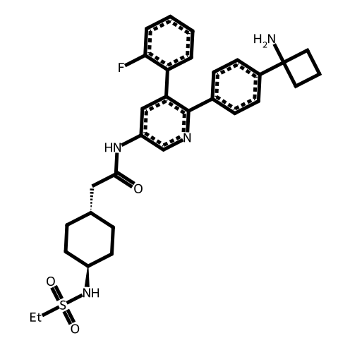 CCS(=O)(=O)N[C@H]1CC[C@H](CC(=O)Nc2cnc(-c3ccc(C4(N)CCC4)cc3)c(-c3ccccc3F)c2)CC1